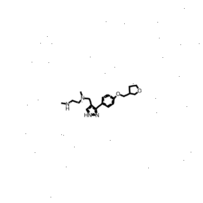 CNCCN(C)Cc1c[nH]nc1-c1ccc(OCC2CCOC2)cc1